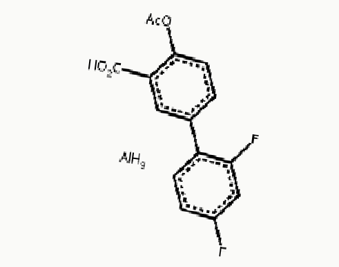 CC(=O)Oc1ccc(-c2ccc(F)cc2F)cc1C(=O)O.[AlH3]